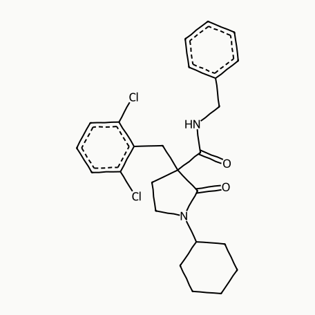 O=C(NCc1ccccc1)C1(Cc2c(Cl)cccc2Cl)CCN(C2CCCCC2)C1=O